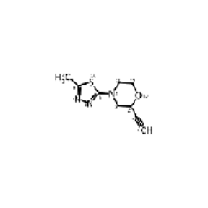 C#C[C@H]1CN(c2nnc(C)s2)CCO1